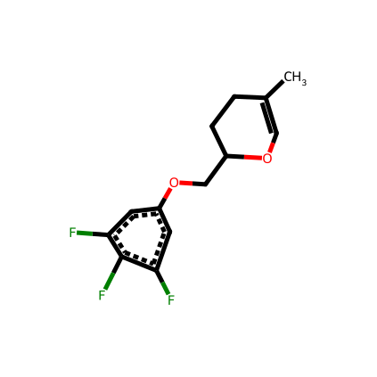 CC1=COC(COc2cc(F)c(F)c(F)c2)CC1